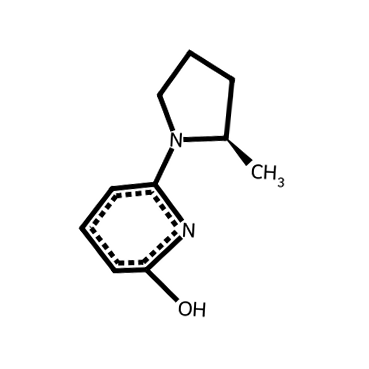 C[C@@H]1CCCN1c1cccc(O)n1